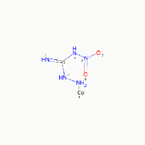 N=C(NN)N[N+](=O)[O-].[Co]